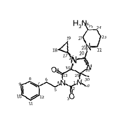 CN1C(=O)N(CCc2ccccc2)C(=O)C2N(C3CC3)C(N3CCCC(N)C3)=NC21C